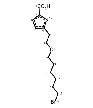 O=C(O)c1ccc(CCOCCCCCCBr)s1